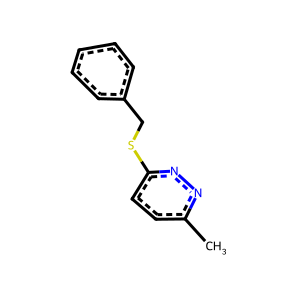 Cc1ccc(SCc2ccccc2)nn1